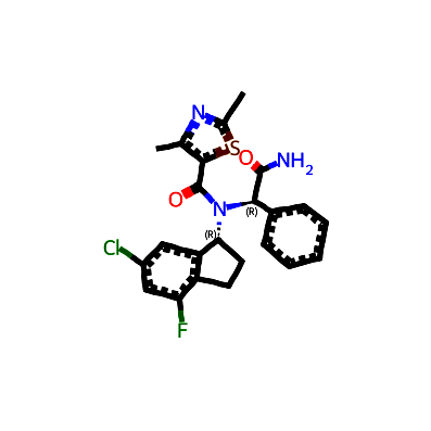 Cc1nc(C)c(C(=O)N([C@@H]2CCc3c(F)cc(Cl)cc32)[C@@H](C(N)=O)c2ccccc2)s1